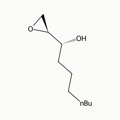 CCCCCCC[C@@H](O)[C@@H]1CO1